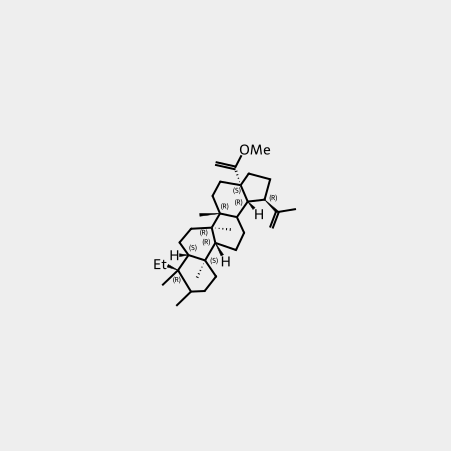 C=C(C)[C@@H]1CC[C@]2(C(=C)OC)CC[C@]3(C)C(CC[C@@H]4[C@@]5(C)CCC(C)[C@@](C)(CC)[C@@H]5CC[C@]43C)[C@@H]12